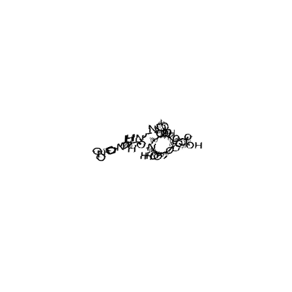 CC[C@H]1OC(=O)[C@H](C)[C@@H](O[C@H]2C[C@@](C)(OC)[C@@H](O)[C@H](C)O2)[C@H](C)[C@@H](O[C@@H]2O[C@H](C)C[C@H](N(C)CCCNC(=O)C3[C@H]4CN(c5ccc([N+](=O)[O-])cc5)C[C@@H]34)[C@H]2O)[C@](C)(O)C[C@@H](C)CN(C)[C@H](C)[C@@H](O)[C@]1(C)O